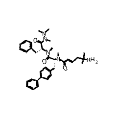 CN(C(=O)C=CCC(C)(C)N)[C@H](Cc1ccc(-c2ccccc2)cc1)C(=O)N(C)[C@H](Cc1ccccc1)C(=O)N(C)N(C)C